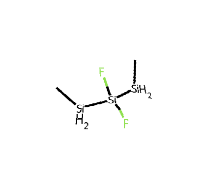 C[SiH2][Si](F)(F)[SiH2]C